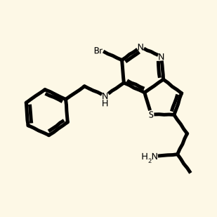 CC(N)Cc1cc2nnc(Br)c(NCc3ccccc3)c2s1